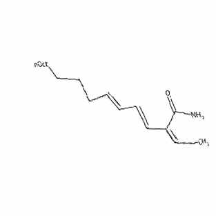 C/C=C(/C=C/C=C/CCCCCCCCCCC)C(N)=O